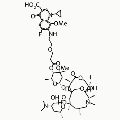 COc1c(NCCOCCC(=O)O[C@H]2[C@H](C)O[C@@H](O[C@H]3[C@@H]4CO[C@H]([C@@H](C)N(C)C[C@H](C)C[C@@](C)(O)[C@@H]4O[C@@H]4O[C@H](C)C[C@H](N(C)C)[C@@H]4O)[C@](C)(O)[C@@H](I)OC(=O)[C@@H]3C)C[C@@]2(C)OC)c(F)cc2c(=O)c(C(=O)O)cn(C3CC3)c12